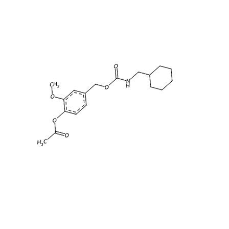 COc1cc(COC(=O)NCC2CCCCC2)ccc1OC(C)=O